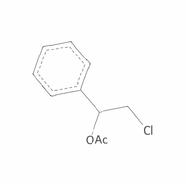 CC(=O)OC(CCl)c1ccccc1